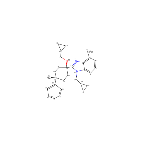 CSc1cccc2c1nc([C@]1(OCC3CC3)CC[C@](C#N)(c3ccccc3)CC1)n2CC1CC1